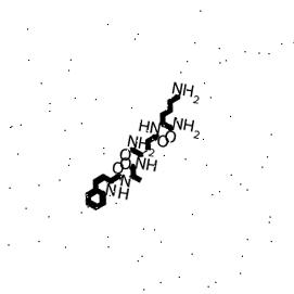 CC(NC(=O)c1ccc2ccccc2n1)C(=O)N[C@@H](CCC(=O)NC(CCCCN)C(N)=O)C(N)=O